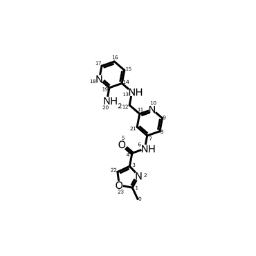 Cc1nc(C(=O)Nc2ccnc(CNc3cccnc3N)c2)co1